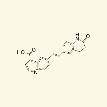 O=C1CCc2cc(C=Cc3ccc4nccc(C(=O)O)c4c3)ccc2N1